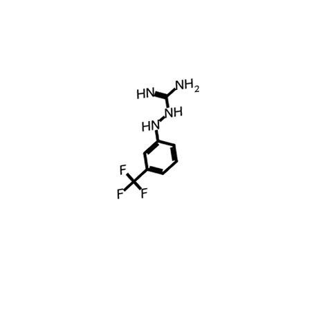 N=C(N)NNc1cccc(C(F)(F)F)c1